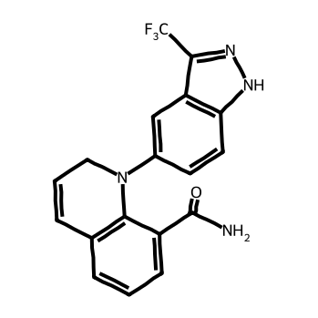 NC(=O)c1cccc2c1N(c1ccc3[nH]nc(C(F)(F)F)c3c1)CC=C2